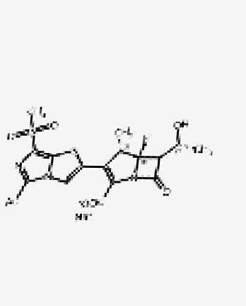 CC(=O)c1nc(S(C)(=O)=O)c2sc(C3=C(C(=O)[O-])N4C(=O)C([C@@H](C)O)[C@H]4[C@H]3C)cn12.[Na+]